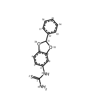 NC(=S)Nc1ccc2c(c1)OC(c1ccccc1)O2